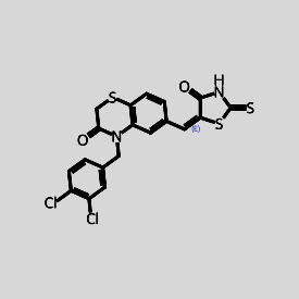 O=C1NC(=S)S/C1=C/c1ccc2c(c1)N(Cc1ccc(Cl)c(Cl)c1)C(=O)CS2